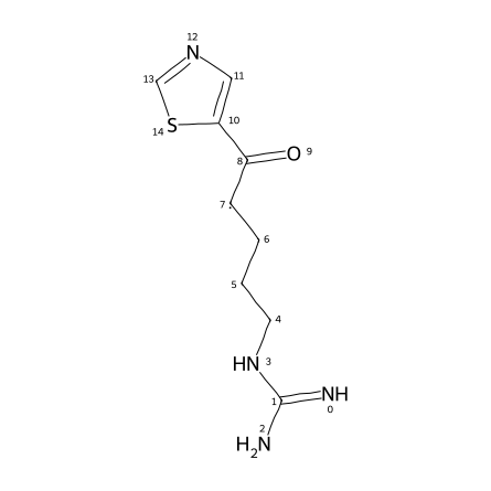 N=C(N)NCCC[CH]C(=O)c1cncs1